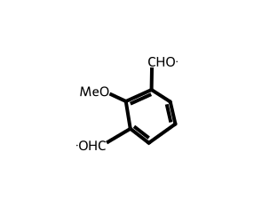 COc1c([C]=O)cccc1[C]=O